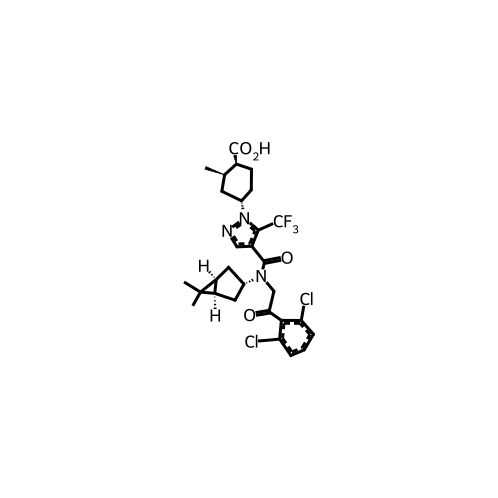 C[C@@H]1C[C@@H](n2ncc(C(=O)N(CC(=O)c3c(Cl)cccc3Cl)[C@@H]3C[C@@H]4[C@H](C3)C4(C)C)c2C(F)(F)F)CC[C@@H]1C(=O)O